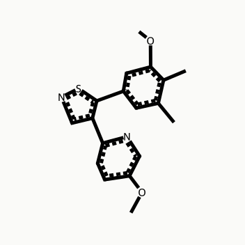 COc1ccc(-c2cnsc2-c2cc(C)c(C)c(OC)c2)nc1